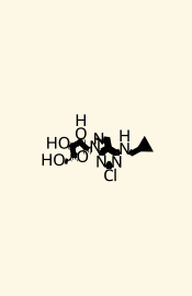 OC[C@H]1O[C@@H](n2ncc3c(NCC4CC4)nc(Cl)nc32)[C@H](O)[C@@H]1O